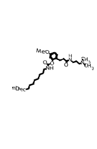 CCCCCCCCCCCCCCCCCCNC(=O)Oc1cc(OC)ccc1CCC(=O)NCCCN(C)C